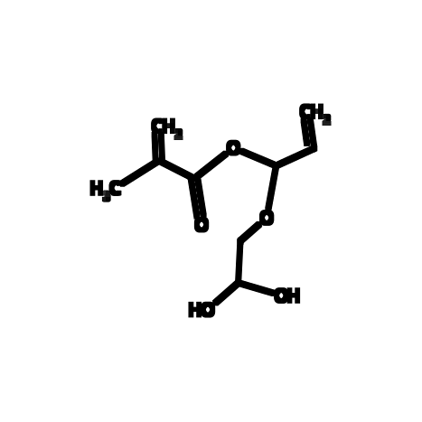 C=CC(OCC(O)O)OC(=O)C(=C)C